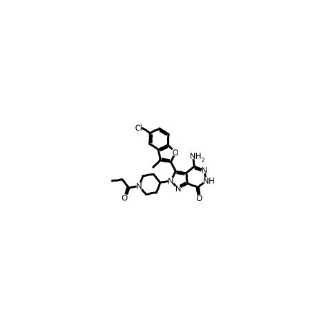 CCC(=O)N1CCC(n2nc3c(=O)[nH]nc(N)c3c2-c2oc3ccc(Cl)cc3c2C)CC1